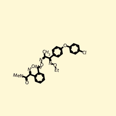 CCON=C(C(C)=NOCc1ccccc1C(=NOC)C(=O)NC)c1ccc(Oc2ccc(Cl)cc2)cc1